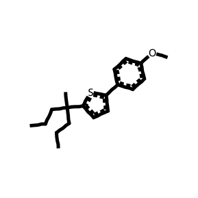 CCCC(C)(CCC)c1ccc(-c2ccc(OC)cc2)s1